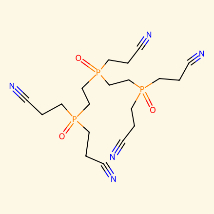 N#CCCP(=O)(CCC#N)CCP(=O)(CCC#N)CCP(=O)(CCC#N)CCC#N